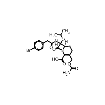 CC(C)OC1(NC(=O)Cc2ccc(Br)cc2)C(=O)N2C(C(=O)O)=C(COC(N)=O)CS[C@@H]21